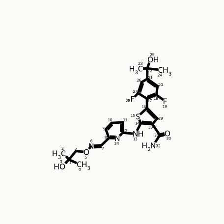 CC(C)(O)CO/N=C/c1cccc(Nc2sc(-c3c(F)cc(C(C)(C)O)cc3F)cc2C(N)=O)n1